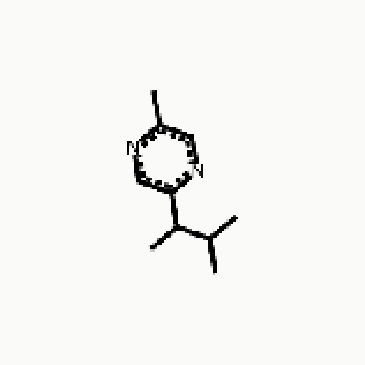 Cc1cnc(C(C)C(C)C)cn1